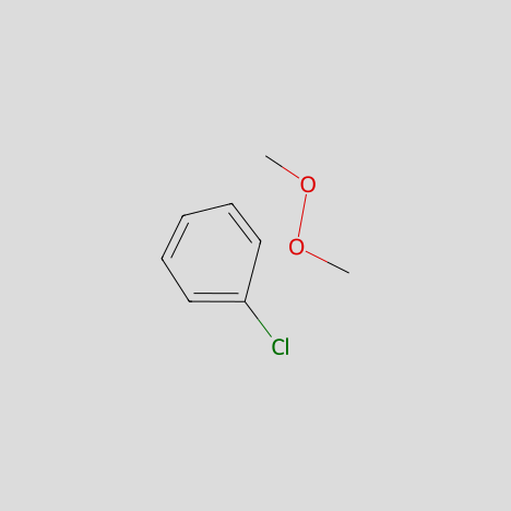 COOC.Clc1ccccc1